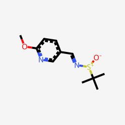 COc1ccc(/C=N/[S+]([O-])C(C)(C)C)cn1